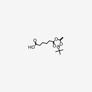 C=C(OOC(C)(C)C)OC(=O)CCCCC(=O)O